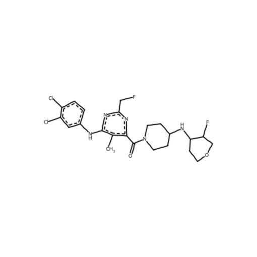 Cc1c(Nc2ccc(Cl)c(Cl)c2)nc(CF)nc1C(=O)N1CCC(NC2CCOCC2F)CC1